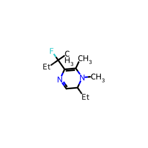 CCC1C=NC(C(C)(F)CC)=C(C)N1C